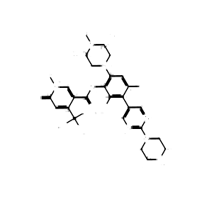 C[C@@H]1CN(c2ncc(-c3c(F)cc(N4C[C@@H](C)N(C)[C@@H](C)C4)c(NC(=O)c4cn(C)c(=O)cc4C(F)(F)F)c3F)cn2)CCO1